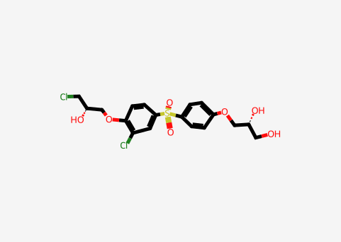 O=S(=O)(c1ccc(OC[C@H](O)CO)cc1)c1ccc(OC[C@H](O)CCl)c(Cl)c1